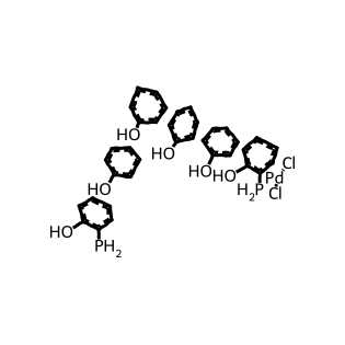 Oc1ccccc1.Oc1ccccc1.Oc1ccccc1.Oc1ccccc1.Oc1ccccc1P.Oc1ccccc1P.[Cl][Pd][Cl]